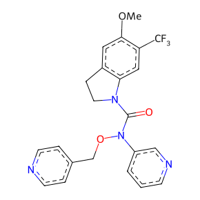 COc1cc2c(cc1C(F)(F)F)N(C(=O)N(OCc1ccncc1)c1cccnc1)CC2